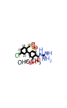 Cc1cc2c(cc1C(=O)NC(=N)N)S(=O)(=O)Cc1ccc(Cl)cc1-2.O=CO